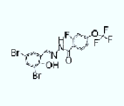 O=C(N/N=C/c1cc(Br)cc(Br)c1O)c1ccc(OC(F)(F)F)cc1F